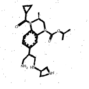 CC(C)OC(=O)N1C[C@H](C)N(C(=O)C2CC2)c2ccc(C(CN)CNC3CNC3)cc21